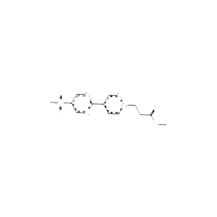 COC(=O)CC[n+]1ccc(-c2ncc(S(C)(=O)=O)cn2)cn1